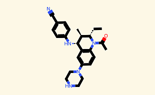 CC[C@H]1[C@H](C)[C@@H](Nc2ccc(C#N)cc2)c2cc(N3CCNCC3)ccc2N1C(C)=O